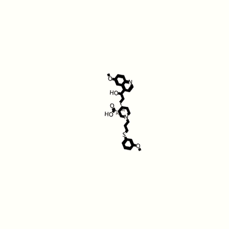 COc1cccc(SCCCN2CC[C@@H](CCC(O)c3ccnc4ccc(OC)cc34)[C@@H](C(=O)O)C2)c1